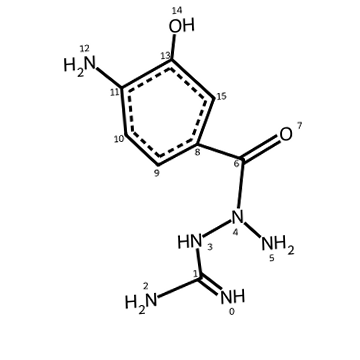 N=C(N)NN(N)C(=O)c1ccc(N)c(O)c1